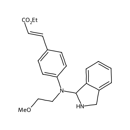 CCOC(=O)/C=C/c1ccc(N(CCOC)C2NCc3ccccc32)cc1